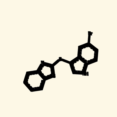 Brc1ccc2[nH]cc(Sc3nc4ccccc4s3)c2c1